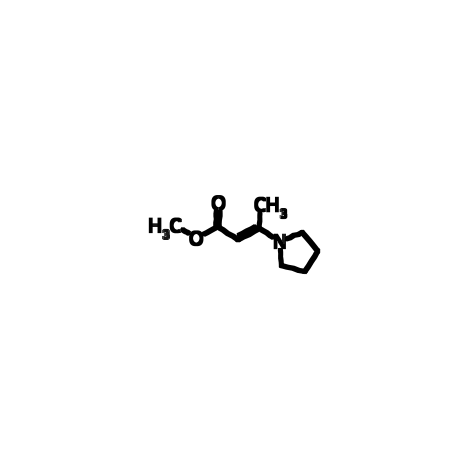 COC(=O)C=C(C)N1CCCC1